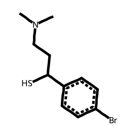 CN(C)CCC(S)c1ccc(Br)cc1